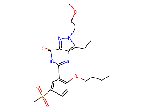 CCCCOc1ccc(S(C)(=O)=O)cc1-c1nc2c(CC)n(CCOC)nc2c(=O)[nH]1